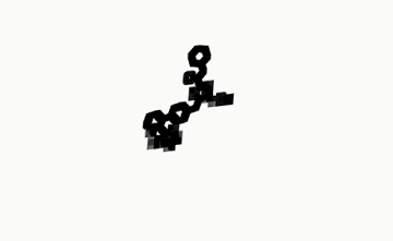 CCCCn1nc(C(=O)CC2CCCCC2)nc1Cc1ccc(-c2cccnc2-c2nnn[nH]2)cc1